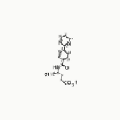 O=CC(CCC(=O)O)NC(=O)c1ccc(-c2ncccn2)cc1